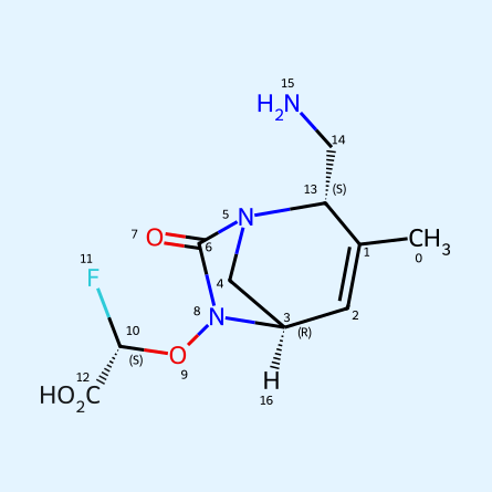 CC1=C[C@@H]2CN(C(=O)N2O[C@@H](F)C(=O)O)[C@@H]1CN